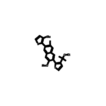 CCOC(C)(C)c1ccsc1-c1cc2cc(C)c(-c3sccc3C(C)(C)C)cc2cc1OC